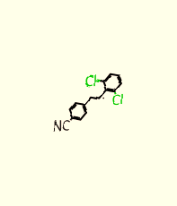 N#Cc1ccc(C[CH]c2c(Cl)cccc2Cl)cc1